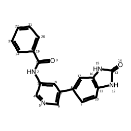 O=C(Nc1cncc(-c2ccc3[nH]c(=O)[nH]c3c2)c1)c1ccccc1